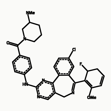 CNC1CCCN(C(=O)c2ccc(Nc3ncc4c(n3)-c3ccc(Cl)cc3C(C3=C(OC)C=CCC3F)=NC4)cc2)C1